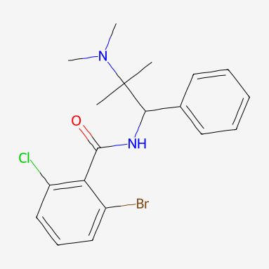 CN(C)C(C)(C)C(NC(=O)c1c(Cl)cccc1Br)c1ccccc1